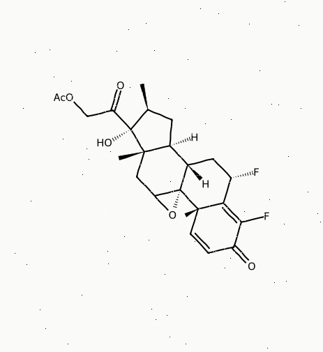 CC(=O)OCC(=O)[C@@]1(O)[C@@H](C)C[C@H]2[C@@H]3C[C@H](F)C4=C(F)C(=O)C=C[C@]4(C)[C@]34OC4C[C@@]21C